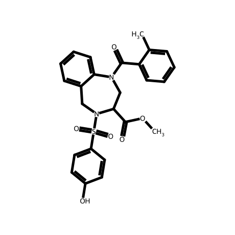 COC(=O)C1CN(C(=O)c2ccccc2C)c2ccccc2CN1S(=O)(=O)c1ccc(O)cc1